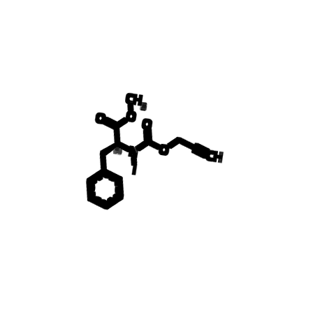 C#CCOC(=O)N(I)[C@@H](Cc1ccccc1)C(=O)OC